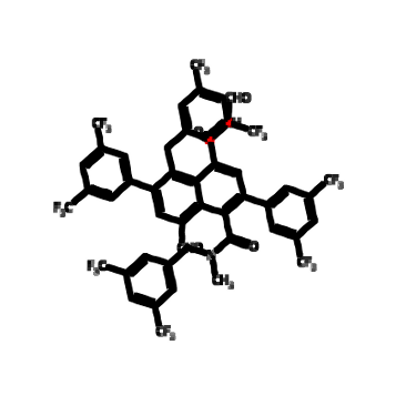 CN(Cc1cc(C(F)(F)F)cc(C(F)(F)F)c1)C(=O)c1c(-c2cc(C(F)(F)F)cc(C(F)(F)F)c2)cc(C(=O)NC=O)c2c(Cc3cc(C(F)(F)F)cc(C(F)(F)F)c3)c(-c3cc(C(F)(F)F)cc(C(F)(F)F)c3)cc(C=O)c12